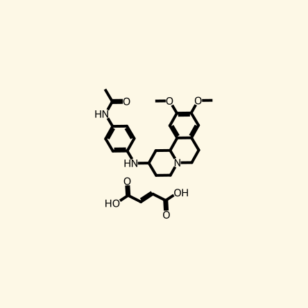 COc1cc2c(cc1OC)C1CC(Nc3ccc(NC(C)=O)cc3)CCN1CC2.O=C(O)C=CC(=O)O